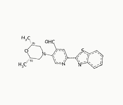 C[C@@H]1CN(c2cnc(-c3nc4ccccc4s3)cc2C=O)C[C@H](C)O1